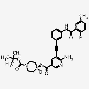 Cc1ccc(F)c(C(=O)Nc2cccc(C#Cc3cc(C(=O)N=S4(=O)CCN(C(=O)OC(C)(C)C)CC4)cnc3N)c2)c1